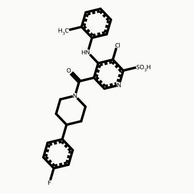 Cc1ccccc1Nc1c(C(=O)N2CCC(c3ccc(F)cc3)CC2)cnc(S(=O)(=O)O)c1Cl